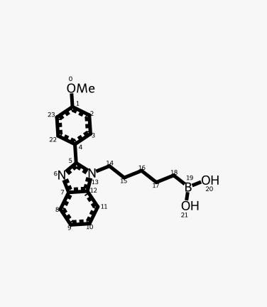 COc1ccc(-c2nc3ccccc3n2CCCCCB(O)O)cc1